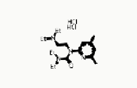 CCN(CC)CCN(C(=O)N(CC)CC)c1cc(C)cc(C)n1.Cl.Cl